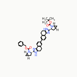 CC(C)(C)OC(=O)N1[C@@H]2C[C@@H]2C[C@H]1c1nc2c([nH]1)CCc1cc(-c3ccc4c(c3)CCc3[nH]c([C@@H]5C[C@H]6C[C@H]6N5C(=O)OCc5ccccc5)nc3-4)ccc1-2